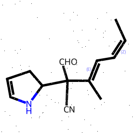 C/C=C\C=C(/C)C(C#N)(C=O)C1CC=CN1